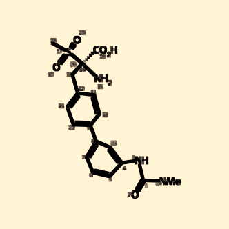 CNC(=O)Nc1cccc(-c2ccc(C[C@@](N)(C(=O)O)S(C)(=O)=O)cc2)c1